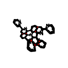 c1ccc(-c2cccc(-c3ccccc3N(c3ccccc3-c3cccc(-c4ccccn4)n3)c3ccccc3-c3cccc(-c4ccccn4)n3)n2)nc1